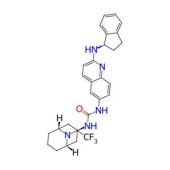 O=C(Nc1ccc2nc(N[C@@H]3CCc4ccccc43)ccc2c1)N[C@@H]1C[C@H]2CCC[C@@H](C1)N2CC(F)(F)F